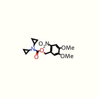 COc1cc(COC(=O)N(C2CC2)C2CC2)c([N+](=O)[O-])cc1OC